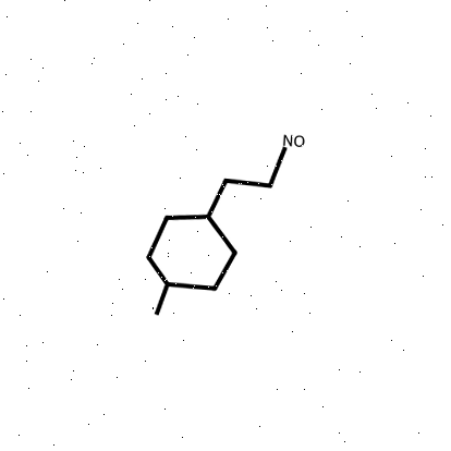 CC1CCC(CCN=O)CC1